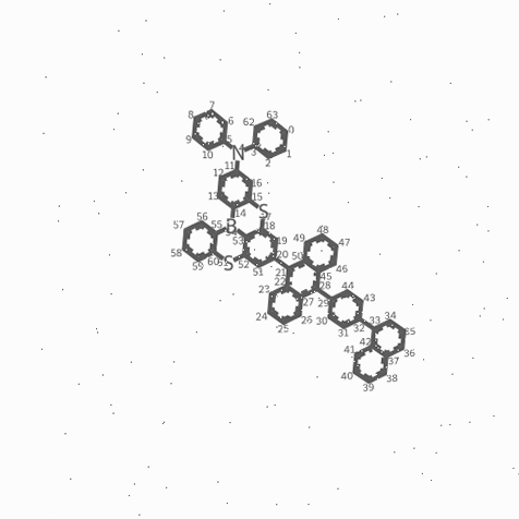 c1ccc(N(c2ccccc2)c2ccc3c(c2)Sc2cc(-c4c5ccccc5c(-c5ccc(-c6cccc7ccccc67)cc5)c5ccccc45)cc4c2B3c2ccccc2S4)cc1